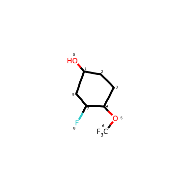 OC1CCC(OC(F)(F)F)C(F)C1